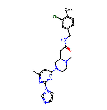 COc1ccc(CNC(=O)CC2CN(c3cc(C)nc(-n4ccnc4)n3)CCN2C)cc1Cl